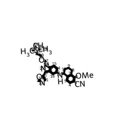 COc1c(C#N)ccc2c1CCCC2Nc1ccc2c(c1)c(-c1cnco1)nn2COCCS(C)(C)C